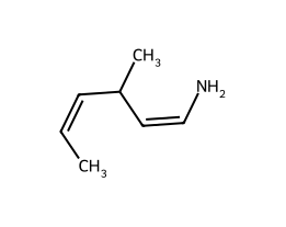 C/C=C\C(C)/C=C\N